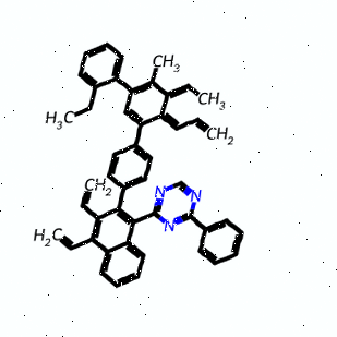 C=C/C=c1/c(-c2ccc(-c3c(C=C)c(C=C)c4ccccc4c3-c3ncnc(-c4ccccc4)n3)cc2)cc(-c2ccccc2CC)c(C)/c1=C/C